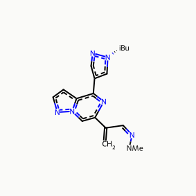 C=C(/C=N\NC)c1cn2nccc2c(-c2cnn([C@@H](C)CC)c2)n1